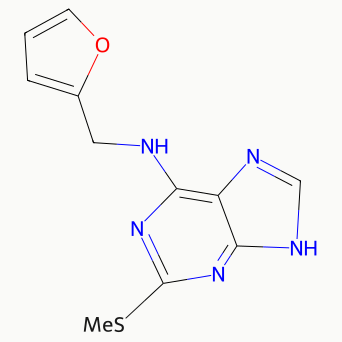 CSc1nc(NCc2ccco2)c2nc[nH]c2n1